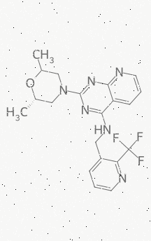 CC1CN(c2nc(NCc3cccnc3C(F)(F)F)c3cccnc3n2)C[C@H](C)O1